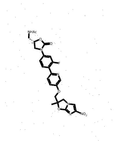 CC(=O)NC[C@H]1CN(c2ccc(-c3ccc(OCC4(C)Cn5cc([N+](=O)[O-])nc5O4)cn3)c(F)c2)C(=O)O1